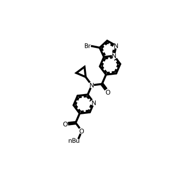 CCCCOC(=O)c1ccc(N(C(=O)c2ccn3ncc(Br)c3c2)C2CC2)nc1